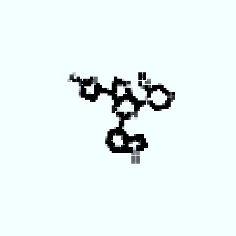 CC1COCCN1c1nc(-c2cccc3[nH]ccc23)nc2c(-c3ccn(C)n3)csc12